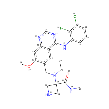 CCN(Cc1cc2c(Nc3cccc(Cl)c3F)ncnc2cc1OC)C1(C(=O)NC)CNC1